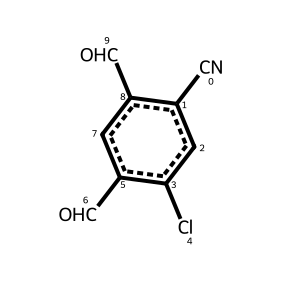 N#Cc1cc(Cl)c(C=O)cc1C=O